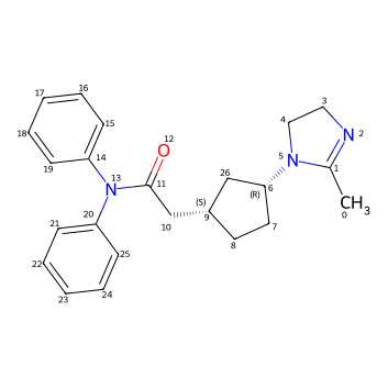 CC1=NCCN1[C@@H]1CC[C@H](CC(=O)N(c2ccccc2)c2ccccc2)C1